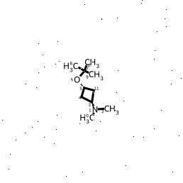 CN(C)[C@H]1C[C@H](OC(C)(C)C)C1